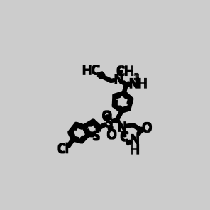 C#CCN(C)C(=N)c1ccc(C(N2CCNC(=O)C2)S(=O)(=O)c2cc3ccc(Cl)cc3s2)cc1